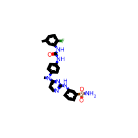 Cc1ccc(F)c(NC(=O)Nc2ccc(N(C)c3ccnc(Nc4cccc(S(N)(=O)=O)c4)n3)cc2)c1